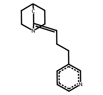 C(CCc1cccnc1)=C1CC2CCN1CC2